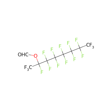 O=COC(F)(C(F)(F)F)C(F)(F)C(F)(F)C(F)(F)C(F)(F)C(F)(F)C(F)(F)F